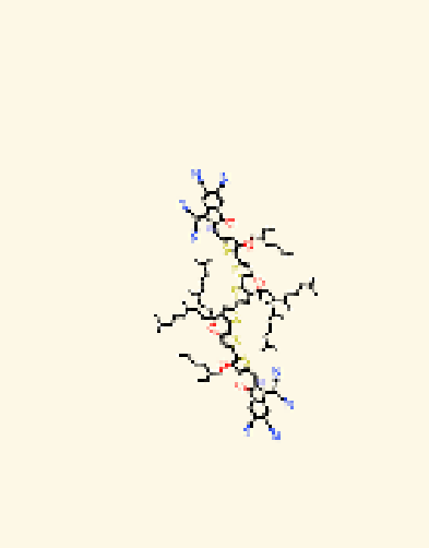 CCCCC(CC)COc1cc(/C=C2\C(=O)c3cc(C#N)c(C#N)cc3C2=C(C#N)C#N)sc1-c1cc2c(s1)-c1sc(-c3cc4c(s3)-c3sc(-c5sc(/C=C6\C(=O)c7cc(C#N)c(C#N)cc7C6=C(C#N)C#N)cc5OCC(CC)CCCC)cc3OC4(CCC(C)CCCC(C)C)CCC(C)CCCC(C)C)cc1C(CCC(C)CCCC(C)C)(CCC(C)CCCC(C)C)O2